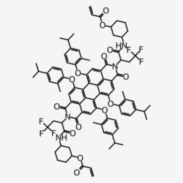 C=CC(=O)OC1CCCC(NC(=O)C(CC(F)(F)F)N2C(=O)c3cc(Oc4ccc(C(C)C)cc4C)c4c5c(Oc6ccc(C(C)C)cc6C)cc6c7c(cc(Oc8ccc(C(C)C)cc8C)c(c8c(Oc9ccc(C(C)C)cc9C)cc(c3c48)C2=O)c75)C(=O)N(C(CC(F)(F)F)C(=O)NC2CCCC(OC(=O)C=C)C2)C6=O)C1